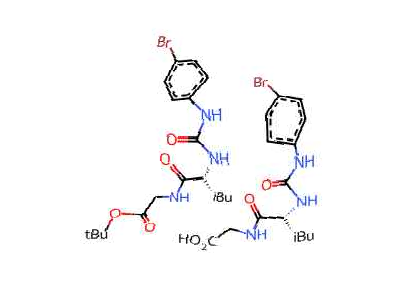 CC[C@@H](C)[C@@H](NC(=O)Nc1ccc(Br)cc1)C(=O)NCC(=O)O.CC[C@@H](C)[C@@H](NC(=O)Nc1ccc(Br)cc1)C(=O)NCC(=O)OC(C)(C)C